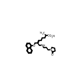 CC(CCCC=C(CNCCCN1CCCC1=O)COc1cccc2ccccc12)C(=O)O